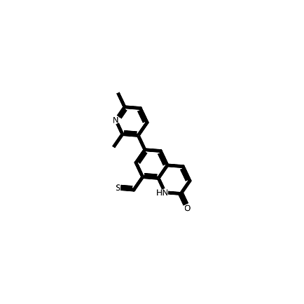 Cc1ccc(-c2cc(C=S)c3[nH]c(=O)ccc3c2)c(C)n1